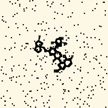 Oc1cc(-c2ncc3c(N4C[C@H]5C[C@@H]4CN5)nc(OC[C@@]45CCCN4C[C@H](F)C5)nc3c2F)c2c(Cl)c(F)ccc2c1